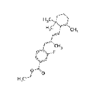 CCOC(=O)c1ccc(/C=C(C)/C=C/C2=C(C)CCCC2(C)C)c(F)c1